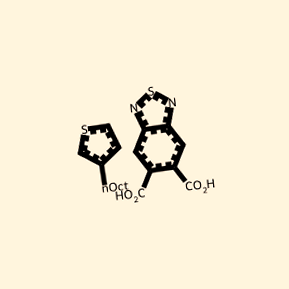 CCCCCCCCc1ccsc1.O=C(O)c1cc2nsnc2cc1C(=O)O